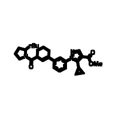 CCCCC1CCCN1C(=O)C1C=C(c2cccc(-n3ncc(C(=O)OC)c3C3CC3)c2)CCC1